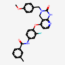 COc1ccc(CN2Cc3c(Oc4ccc(NC(=O)c5cccc(C)c5)cc4F)ccnc3NC2=O)cc1